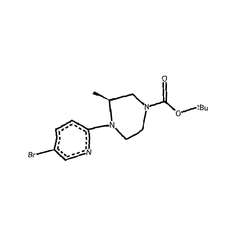 C[C@H]1CN(C(=O)OC(C)(C)C)CCN1c1ccc(Br)cn1